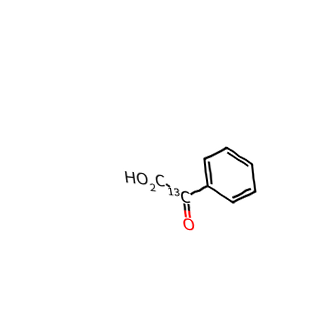 O=[13C](O)[13C](=O)c1ccccc1